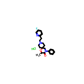 CC1OC2(CCN(CCc3ccc(F)cn3)CC2)CN(c2ccccc2)C1=O.Cl